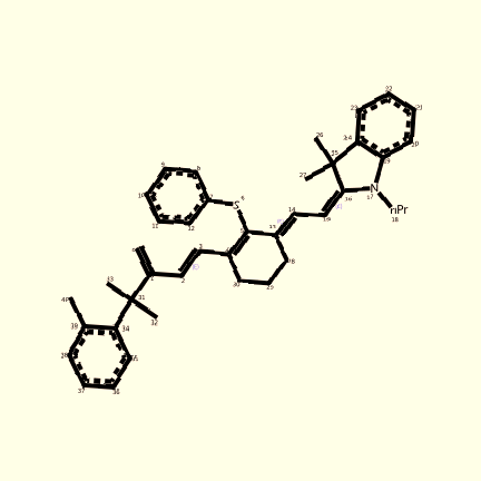 C=C(/C=C/C1=C(Sc2ccccc2)C(=C/C=C2/N(CCC)c3ccccc3C2(C)C)/CCC1)C(C)(C)c1ccccc1C